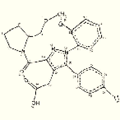 COCC1CCCN1C(=O)c1nn(-c2ccccc2Cl)c(-c2ccc(Cl)cc2)c1CC(=O)O